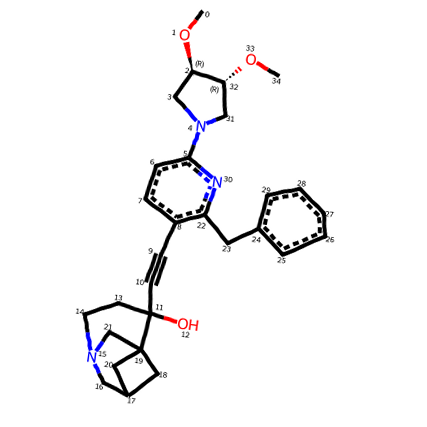 CO[C@@H]1CN(c2ccc(C#CC3(O)CCN4CC5CC3(C5)C4)c(Cc3ccccc3)n2)C[C@H]1OC